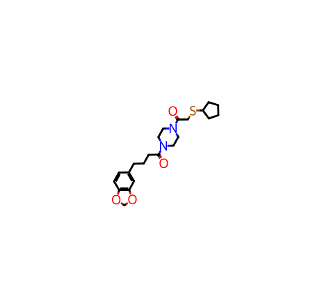 O=C(CCCc1ccc2c(c1)OCO2)N1CCN(C(=O)CSC2CCCC2)CC1